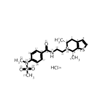 C[C@@H]1Cc2ccsc2[C@H](C)N1CCNC(=O)c1ccc(N(C)S(C)(=O)=O)cc1.Cl